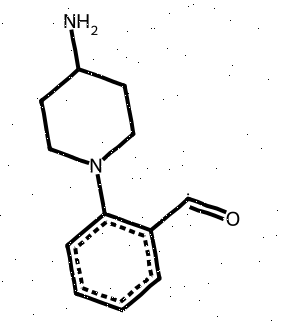 NC1CCN(c2ccccc2[C]=O)CC1